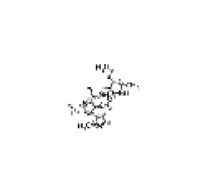 CCCc1cc(C)[nH]c(=O)c1CNC(=O)c1nc(C2CC2)nc(-c2ccnn2C)c1C